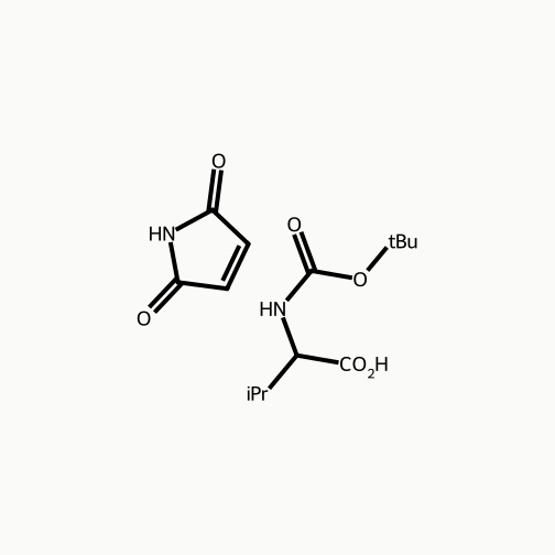 CC(C)C(NC(=O)OC(C)(C)C)C(=O)O.O=C1C=CC(=O)N1